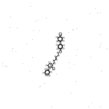 O=C1N(CC/C=C/CCOc2ccc(-c3ccc(Cl)cc3)cc2)CCN1c1ccncc1